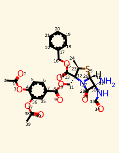 CC(=O)Oc1ccc(C(=O)OC[C@]2(C(=O)OCc3ccccc3)[C@@H](C)S[C@H]3N2C(=O)[C@]3(N)NC=O)cc1OC(C)=O